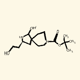 CC(C)(C)OC(=O)N1CCC2(CC1)C[C@@H](CCO)NC2O